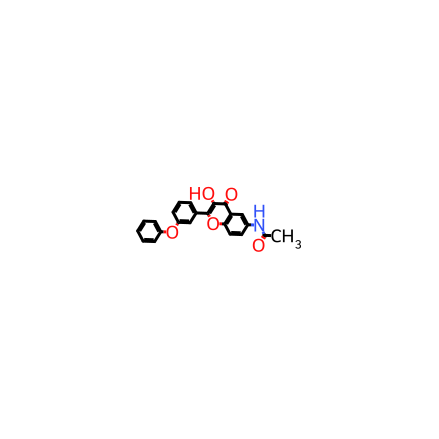 CC(=O)Nc1ccc2oc(-c3cccc(Oc4ccccc4)c3)c(O)c(=O)c2c1